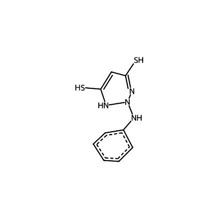 SC1=CC(S)=NN(Nc2ccccc2)N1